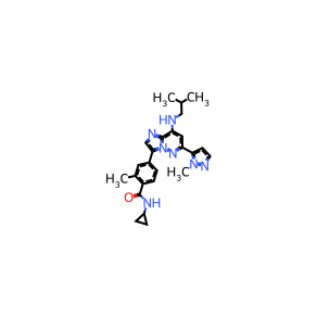 Cc1cc(-c2cnc3c(NCC(C)C)cc(-c4ccnn4C)nn23)ccc1C(=O)NC1CC1